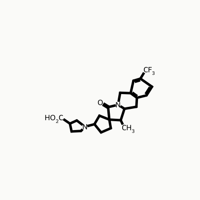 CC1C2Cc3ccc(C(F)(F)F)cc3CN2C(=O)C12CCC(N1CCC(C(=O)O)C1)C2